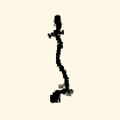 CCCN(CC(O)COCCOCCOCCOCCOCCOCCOCCOCCOCCOCC(O)N(CCC)CC(O)COc1ccc2sc3ccccc3c(=O)c2c1)CC(O)COc1ccc2sc3ccccc3c(=O)c2c1